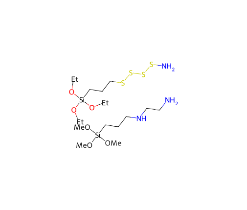 CCO[Si](CCCSSSSN)(OCC)OCC.CO[Si](CCCNCCN)(OC)OC